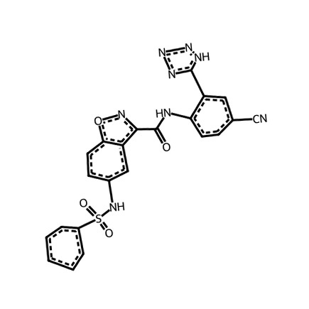 N#Cc1ccc(NC(=O)c2noc3ccc(NS(=O)(=O)c4ccccc4)cc23)c(-c2nnn[nH]2)c1